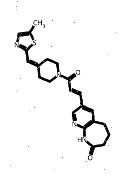 Cc1cnc(C=C2CCN(C(=O)/C=C/c3cnc4c(c3)CCCC(=O)N4)CC2)s1